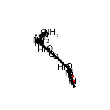 C#Cc1cnc(N2CCN(c3ncc(C(=O)NCCCCCCCCOCCOCCC(=O)NCCCCn4nc(-c5ccc6oc(N)nc6c5)c5c(N)ncnc54)cn3)CC2)nc1